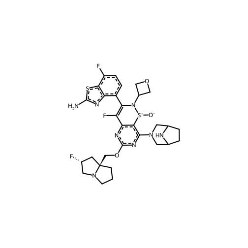 Nc1nc2c(C3=C(F)c4nc(OC[C@@]56CCCN5C[C@H](F)C6)nc(N5CC6CCC(C5)N6)c4[S+]([O-])N3C3COC3)ccc(F)c2s1